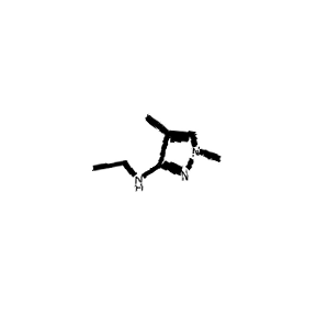 CCNc1nn(C)[c]c1C